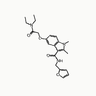 CCN(CC)C(=O)COc1ccc2c(c1)c(C(=O)NCc1ccco1)c(C)n2C